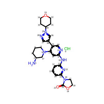 Cl.N[C@H]1CCCN(c2cc(Nc3cccc(N4CCOC4=O)n3)ncc2-c2cnn(C3CCOCC3)c2)C1